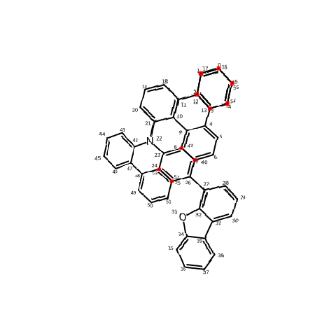 c1ccc(-c2ccccc2-c2c(-c3ccccc3)cccc2N(c2ccc(-c3cccc4c3oc3ccccc34)cc2)c2ccccc2-c2ccccc2)cc1